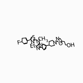 CCc1nc2ccc(C3CCN(C4=NCC(CCO)O4)CC3)cn2c1N(C)c1nc(C2=CCC(F)C=C2)cs1